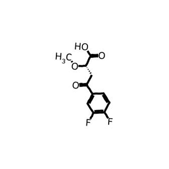 CO[C@@H](CC(=O)c1ccc(F)c(F)c1)C(=O)O